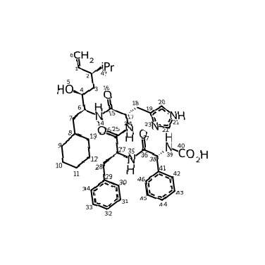 C=C[C@H](C[C@H](O)[C@H](CC1CCCCC1)NC(=O)[C@H](Cc1c[nH]cn1)NC(=O)[C@H](Cc1ccccc1)NC(=O)[C@H](NC(=O)O)c1ccccc1)C(C)C